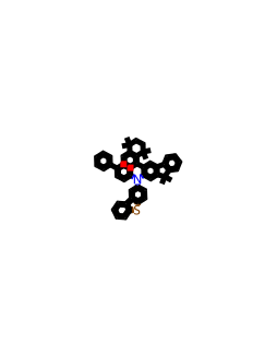 CC1(C)CCC(C)(C)c2c(-c3cc4c(cc3N(c3ccc(-c5ccccc5)cc3)c3ccc5sc6ccccc6c5c3)C(C)(C)c3ccccc3-4)cccc21